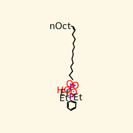 CCCCCCCC/C=C\CCCCCCCCCCCCOP(=O)(O)OP(CC)(CC)(CC)c1ccccc1